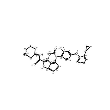 Cc1cc(Oc2ccccc2C2CC2)ccc1N1C(=O)Nc2c(C(=O)NC3CCCNC3)sc3nccc1c23